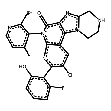 Cc1ccnc(C(C)C)c1-n1c(=O)c2nc3n(c2c2cc(Cl)c(-c4c(O)cccc4F)nc21)CCNC3